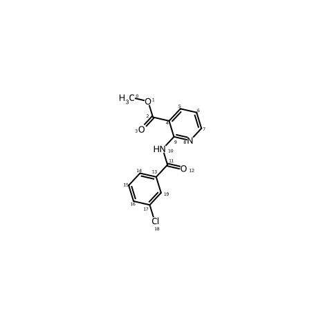 COC(=O)c1cccnc1NC(=O)c1cccc(Cl)c1